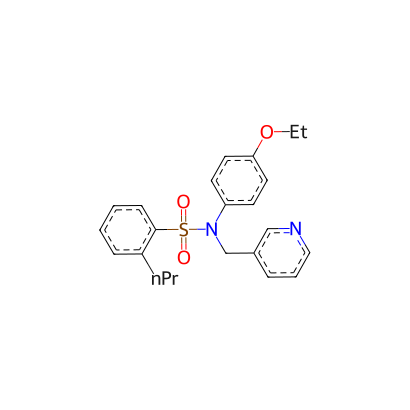 CCCc1ccccc1S(=O)(=O)N(Cc1cccnc1)c1ccc(OCC)cc1